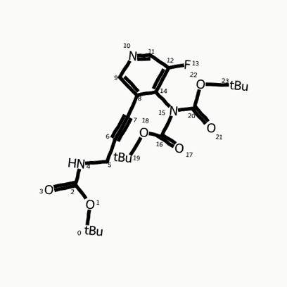 CC(C)(C)OC(=O)NCC#Cc1cncc(F)c1N(C(=O)OC(C)(C)C)C(=O)OC(C)(C)C